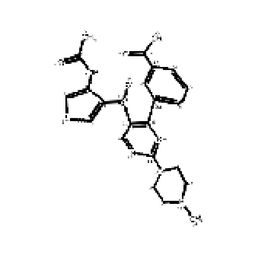 CC(=O)Nc1cscc1[S+]([O-])c1cnc(N2CCN(C)CC2)nc1-c1cccc(C(C)=O)c1